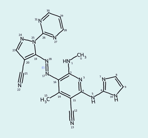 CNc1nc(Nc2ncc[nH]2)c(C#N)c(C)c1/N=N/c1c(C#N)cnn1-c1ncccn1